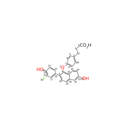 O=C(O)CCc1ccc(Oc2c(-c3ccc(O)c(F)c3)ccc3cc(O)ccc23)cc1